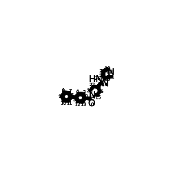 O=C(c1ccc(-c2ccccc2)cc1)N1CCC(c2nc3cnccc3[nH]2)CC1